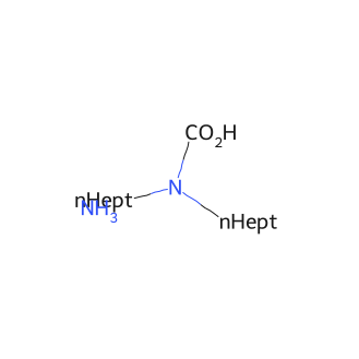 CCCCCCCN(CCCCCCC)C(=O)O.N